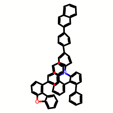 c1ccc(-c2ccccc2-c2c(-c3ccccc3)cccc2N(c2ccc(-c3ccc(-c4ccc5ccccc5c4)cc3)cc2)c2ccc(-c3cccc4oc5ccccc5c34)cc2)cc1